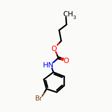 CCCCOC(=O)Nc1cccc(Br)c1